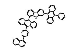 C=C(/C=C\C(=C/C)c1c2ccccc2c(-c2cccc3c2oc2cc(-c4c5ccccc5c(-c5ccccc5)c5ccccc45)ccc23)c2ccccc12)c1cccc2ccccc12